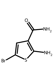 NC(=O)c1cc(Br)sc1N